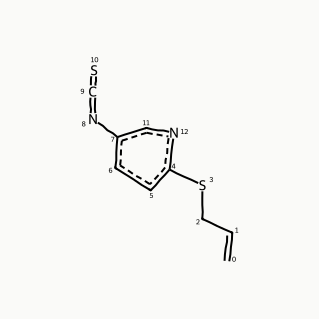 C=CCSc1ccc(N=C=S)cn1